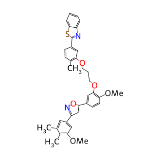 COc1ccc(C2CC(c3cc(C)c(C)c(OC)c3)=NO2)cc1OCCCOc1cc(-c2nc3ccccc3s2)ccc1C